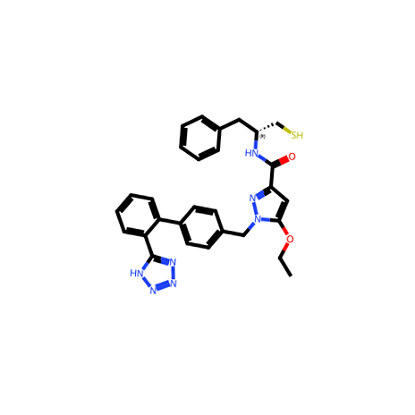 CCOc1cc(C(=O)N[C@@H](CS)Cc2ccccc2)nn1Cc1ccc(-c2ccccc2-c2nnn[nH]2)cc1